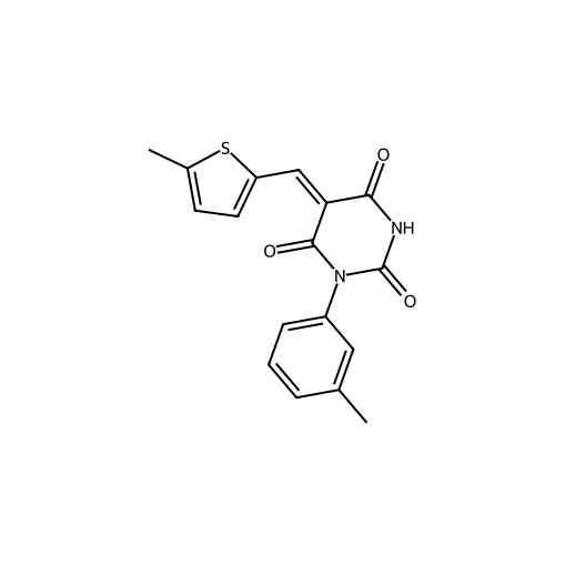 Cc1cccc(N2C(=O)NC(=O)C(=Cc3ccc(C)s3)C2=O)c1